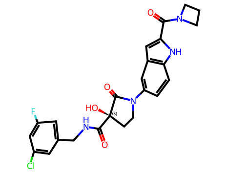 O=C(c1cc2cc(N3CC[C@](O)(C(=O)NCc4cc(F)cc(Cl)c4)C3=O)ccc2[nH]1)N1CCC1